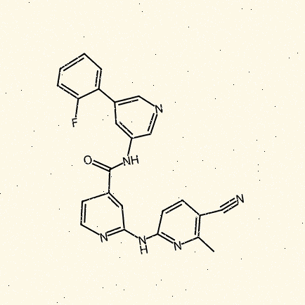 Cc1nc(Nc2cc(C(=O)Nc3cncc(-c4ccccc4F)c3)ccn2)ccc1C#N